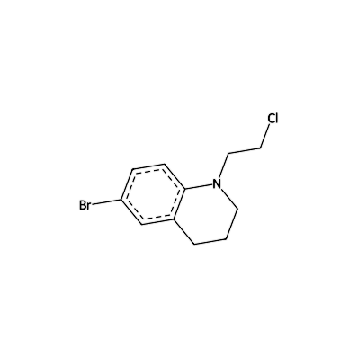 ClCCN1CCCc2cc(Br)ccc21